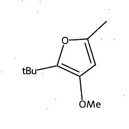 COc1cc(C)oc1C(C)(C)C